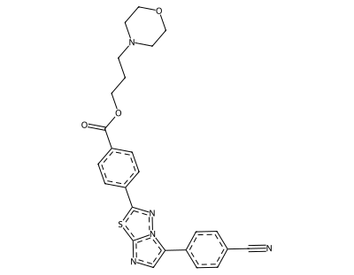 N#Cc1ccc(-c2cnc3sc(-c4ccc(C(=O)OCCCN5CCOCC5)cc4)nn23)cc1